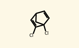 ClC1=CC2C=CC1(Cl)C2